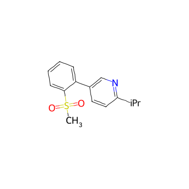 CC(C)c1ccc(-c2ccccc2S(C)(=O)=O)cn1